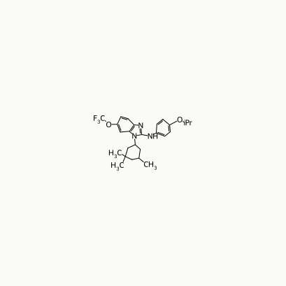 CC1CC(n2c(Nc3ccc(OC(C)C)cc3)nc3ccc(OC(F)(F)F)cc32)CC(C)(C)C1